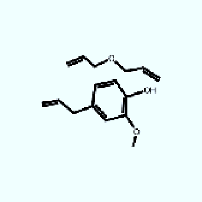 C=CCOCC=C.C=CCc1ccc(O)c(OC)c1